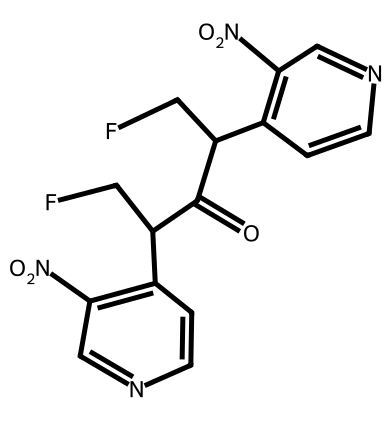 O=C(C(CF)c1ccncc1[N+](=O)[O-])C(CF)c1ccncc1[N+](=O)[O-]